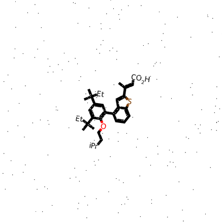 CCC(C)(C)c1cc(-c2cccc3sc(/C(C)=C/C(=O)O)cc23)c(OCCC(C)C)c(C(C)(C)CC)c1